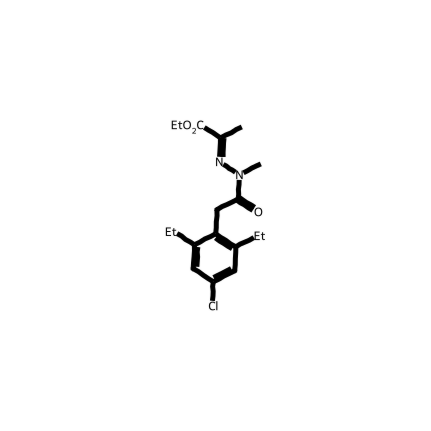 CCOC(=O)C(C)=NN(C)C(=O)Cc1c(CC)cc(Cl)cc1CC